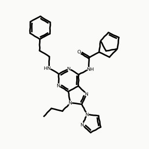 CCCn1c(-n2cccn2)nc2c(NC(=O)C3CC4C=CC3C4)nc(NCCc3ccccc3)nc21